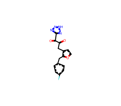 O=C(Cc1ccoc1Cc1ccc(F)cc1)C(=O)c1nn[nH]n1